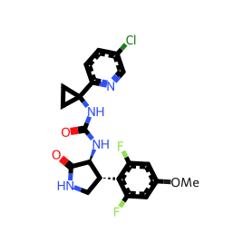 COc1cc(F)c([C@@H]2CNC(=O)[C@H]2NC(=O)NC2(c3ccc(Cl)cn3)CC2)c(F)c1